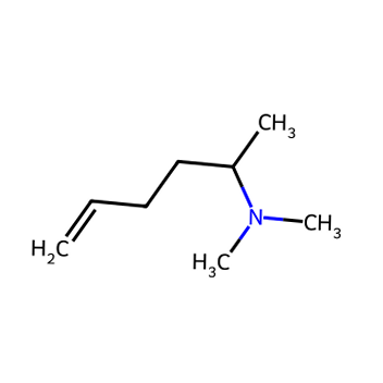 C=CCCC(C)N(C)C